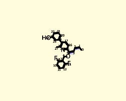 C/C=C\C=C(\OCc1c(F)cccc1F)c1ccc(-c2cccc(O)c2)c(C)n1